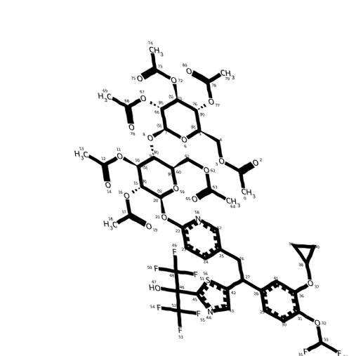 CC(=O)OC[C@H]1O[C@@H](O[C@H]2[C@H](OC(C)=O)[C@@H](OC(C)=O)[C@H](Oc3ccc(CC(c4ccc(OC(F)F)c(OC5CC5)c4)c4cnc(C(O)(C(F)(F)F)C(F)(F)F)s4)cn3)O[C@@H]2COC(C)=O)[C@H](OC(C)=O)[C@@H](OC(C)=O)[C@@H]1OC(C)=O